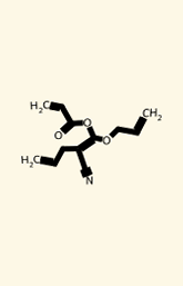 C=CCOC(OC(=O)C=C)=C(C#N)CC=C